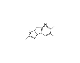 CC1=CC2c3cc(C)c(C)nc3CC2S1